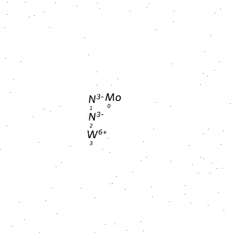 [Mo].[N-3].[N-3].[W+6]